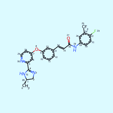 C[C@@H]1CN=C(c2cc(Oc3cccc(C=CC(=O)Nc4ccc(F)c(C(F)(F)F)c4)c3)ccn2)N1